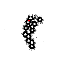 O=P(c1ccccc1)(c1ccccc1)c1ccc2c(c1)C(c1ccccc1)(c1ccccc1)c1cc(-c3cc4c(ccc5c6ccccc6ccc54)c4ccccc34)ccc1-2